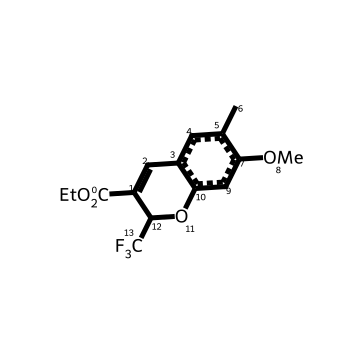 CCOC(=O)C1=Cc2cc(C)c(OC)cc2OC1C(F)(F)F